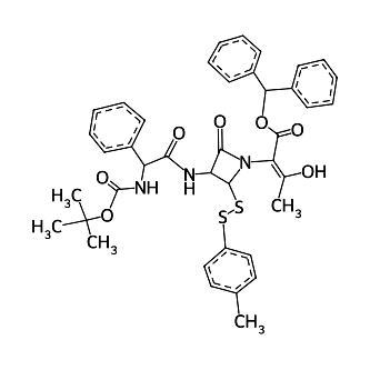 C/C(O)=C(/C(=O)OC(c1ccccc1)c1ccccc1)N1C(=O)C(NC(=O)C(NC(=O)OC(C)(C)C)c2ccccc2)C1SSc1ccc(C)cc1